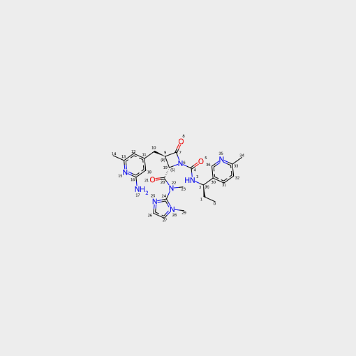 CC[C@@H](NC(=O)N1C(=O)[C@H](Cc2cc(C)nc(N)c2)[C@H]1C(=O)N(C)c1nccn1C)c1ccc(C)nc1